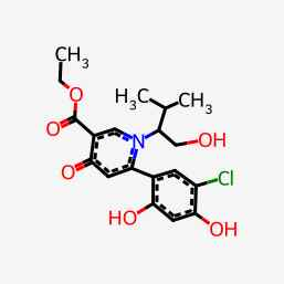 CCOC(=O)c1cn(C(CO)C(C)C)c(-c2cc(Cl)c(O)cc2O)cc1=O